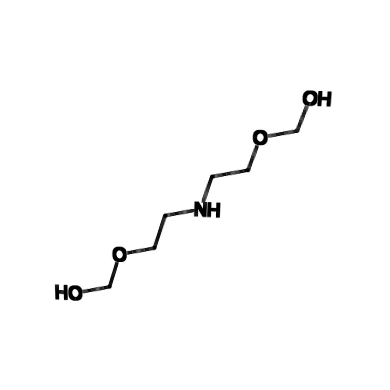 OCOCCNCCOCO